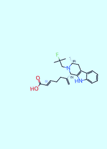 C=C(CC/C=C/C(=O)O)[C@H]1c2[nH]c3ccccc3c2C[C@@H](C)N1CC(C)(C)F